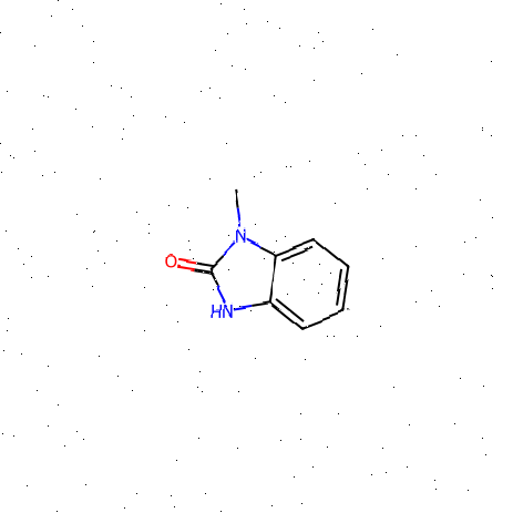 Cn1c(=O)[nH]c2c[c]ccc21